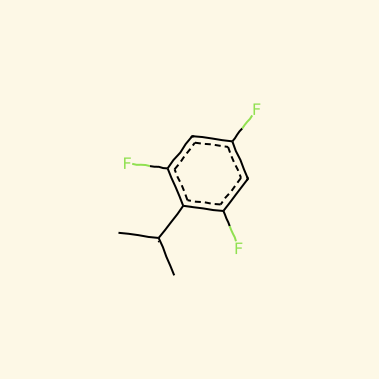 C[C](C)c1c(F)cc(F)cc1F